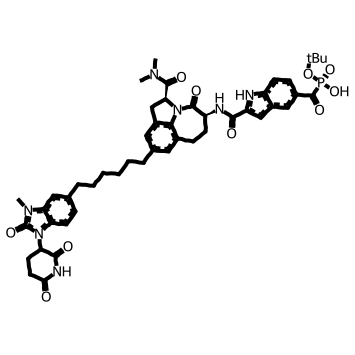 CN(C)C(=O)[C@@H]1Cc2cc(CCCCCCc3ccc4c(c3)n(C)c(=O)n4C3CCC(=O)NC3=O)cc3c2N1C(=O)[C@@H](NC(=O)c1cc2cc(C(=O)P(=O)(O)OC(C)(C)C)ccc2[nH]1)CC3